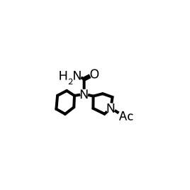 CC(=O)N1CCC(N(C(N)=O)C2CCCCC2)CC1